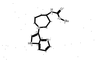 CC(C)(C)OC(=O)NC1CCCN(c2c[nH]c3cccnc23)CC1